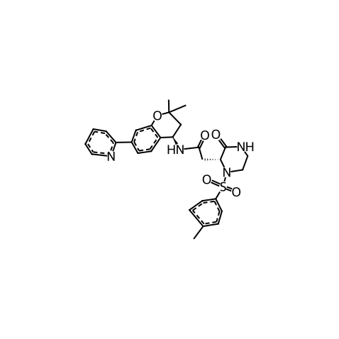 Cc1ccc(S(=O)(=O)N2CCNC(=O)[C@H]2CC(=O)N[C@@H]2CC(C)(C)Oc3cc(-c4ccccn4)ccc32)cc1